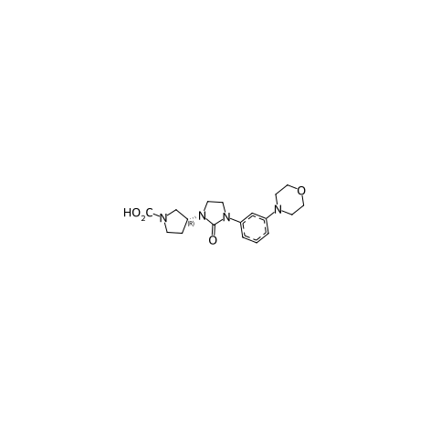 O=C(O)N1CC[C@@H](N2CCN(c3cccc(N4CCOCC4)c3)C2=O)C1